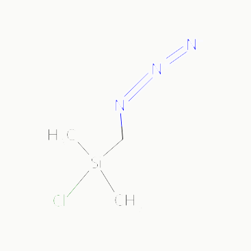 C[Si](C)(Cl)CN=[N+]=[N-]